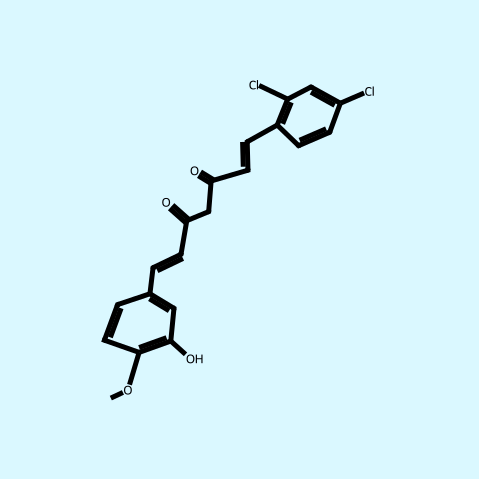 COc1ccc(C=CC(=O)CC(=O)C=Cc2ccc(Cl)cc2Cl)cc1O